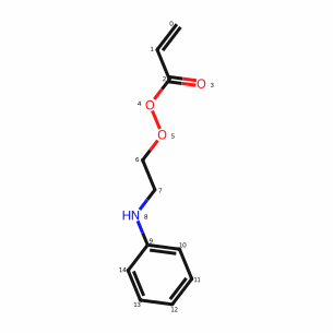 C=CC(=O)OOCCNc1ccccc1